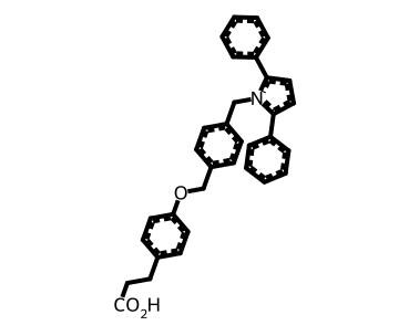 O=C(O)CCc1ccc(OCc2ccc(Cn3c(-c4ccccc4)ccc3-c3ccccc3)cc2)cc1